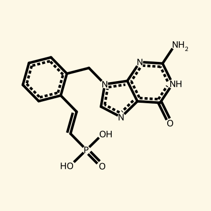 Nc1nc2c(ncn2Cc2ccccc2C=CP(=O)(O)O)c(=O)[nH]1